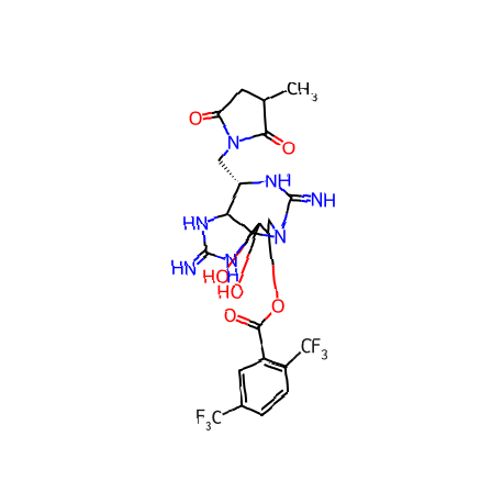 CC1CC(=O)N(C[C@@H]2NC(=N)N3CC(OC(=O)c4cc(C(F)(F)F)ccc4C(F)(F)F)C(O)(O)C34NC(=N)NC24)C1=O